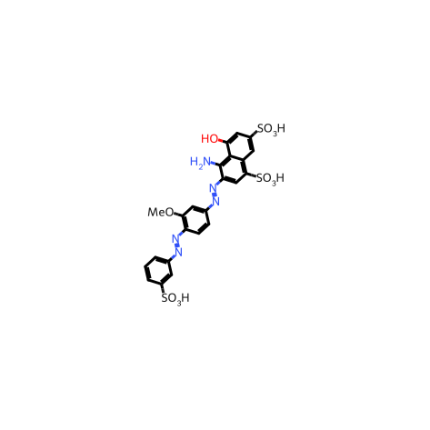 COc1cc(/N=N/c2cc(S(=O)(=O)O)c3cc(S(=O)(=O)O)cc(O)c3c2N)ccc1/N=N/c1cccc(S(=O)(=O)O)c1